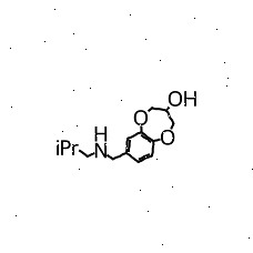 CC(C)CNCc1ccc2c(c1)OC[C@@H](O)CO2